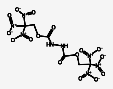 O=C(NNC(=O)OCC([N+](=O)[O-])([N+](=O)[O-])[N+](=O)[O-])OCC([N+](=O)[O-])([N+](=O)[O-])[N+](=O)[O-]